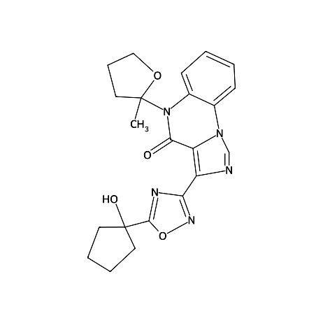 CC1(n2c(=O)c3c(-c4noc(C5(O)CCCC5)n4)ncn3c3ccccc32)CCCO1